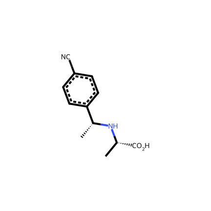 C[C@H](N[C@H](C)c1ccc(C#N)cc1)C(=O)O